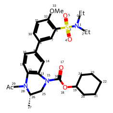 CCN(CC)S(=O)(=O)c1cc(-c2ccc3c(c2)N(C(=O)OC2CCCCC2)C[C@H](C)N3C(C)=O)ccc1OC